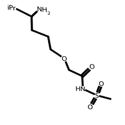 CC(C)C(N)CCCOCC(=O)NS(C)(=O)=O